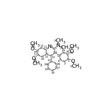 COc1ccc(-c2c(N(C)C)nc3cc(OC)c(OC)cc3c2-c2ccccc2)cc1OC